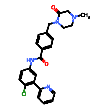 CN1CCN(Cc2ccc(C(=O)Nc3ccc(Cl)c(-c4ccccn4)c3)cc2)C(=O)C1